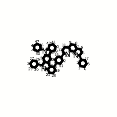 c1ccc(-c2ccc3ccc4ccc(-c5ccc(-c6cccc7nc(-c8ccccc8)c8cc9c(cc8c67)c6ccccc6n9-c6ccccc6)cc5)nc4c3n2)cc1